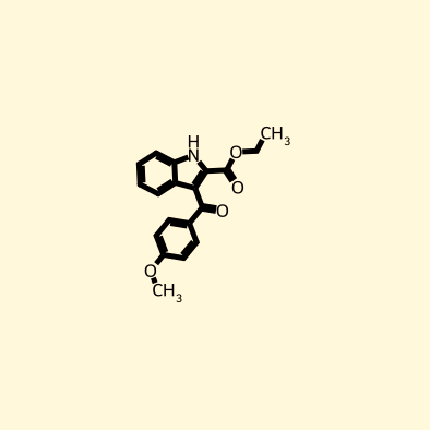 CCOC(=O)c1[nH]c2ccccc2c1C(=O)c1ccc(OC)cc1